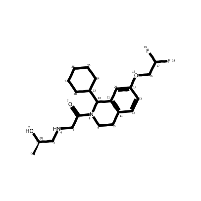 C[C@@H](O)CNCC(=O)N1CCc2ccc(OCC(F)F)cc2C1C1CCCCC1